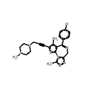 Cc1c(C#CCN2CCN(C)CC2)sc2c1C(c1ccc(Cl)cc1)=NCc1nnc(C)n1-2